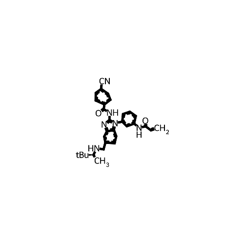 C=CC(=O)Nc1cccc(-n2c(NC(=O)c3ccc(C#N)cc3)nc3cc(CN[C@@H](C)C(C)(C)C)ccc32)c1